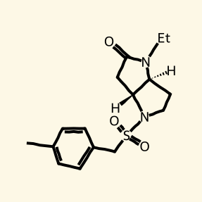 CCN1C(=O)C[C@@H]2[C@@H]1CCN2S(=O)(=O)Cc1ccc(C)cc1